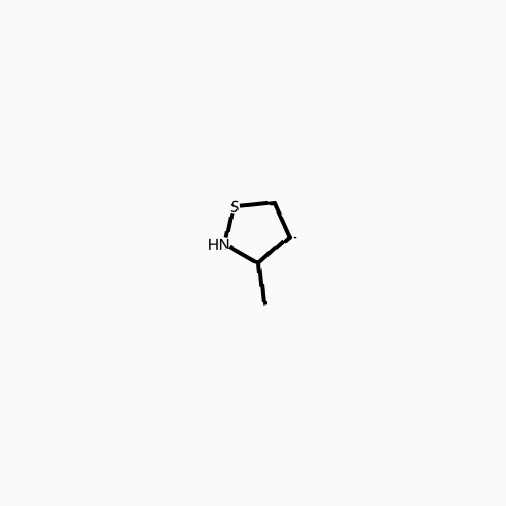 CC1[CH]CSN1